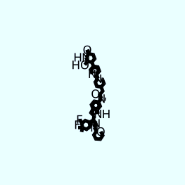 CN(C(=O)CC1CCN(c2ccc(C3CCC(=O)NC3O)cn2)CC1)c1ccc2cc(-c3nn(C4CCCCO4)c4c3CC(F)(F)C(C)(C)C4)[nH]c2c1